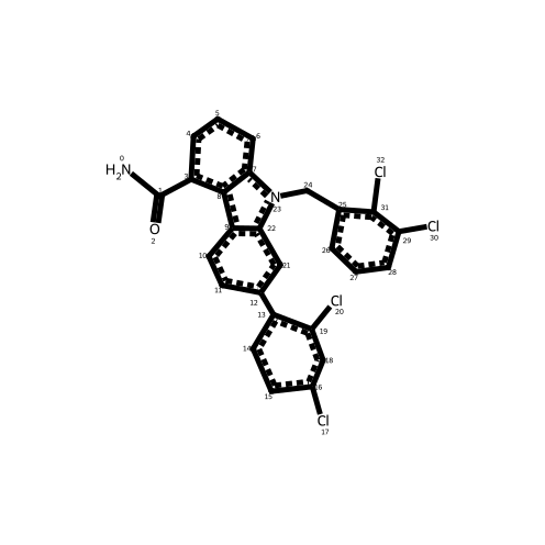 NC(=O)c1cccc2c1c1[c]cc(-c3ccc(Cl)cc3Cl)cc1n2Cc1cccc(Cl)c1Cl